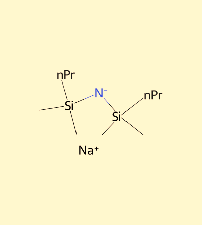 CCC[Si](C)(C)[N-][Si](C)(C)CCC.[Na+]